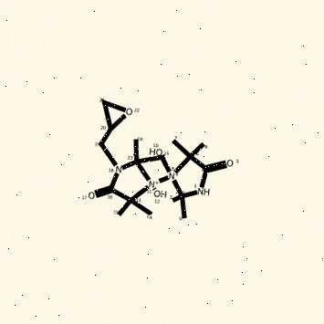 CC1(C)NC(=O)C(C)(C)[N+]1(O)[N+]1(O)C(C)(C)C(=O)N(CC2CO2)C1(C)C